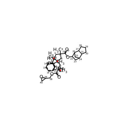 CCC(C)(CC(C)(CC(C)(CC(C)(C)c1ccccc1)C(=O)OC1CC2CC1C1CCCC21)C(=O)OC)C(=O)OCC1CO1